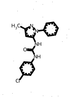 Cc1cc(NC(=O)Nc2ccc(Cl)cc2)n(-c2ccccc2)n1